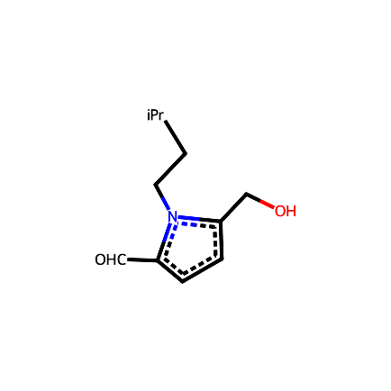 CC(C)CCn1c(C=O)ccc1CO